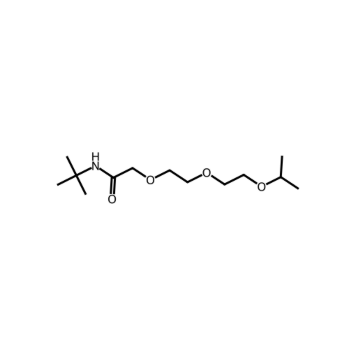 CC(C)OCCOCCOCC(=O)NC(C)(C)C